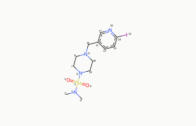 CN(C)S(=O)(=O)N1CCN(Cc2ccc(I)nc2)CC1